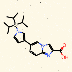 CC(C)[Si](C(C)C)(C(C)C)n1ccc(-c2ccc3nc(C(=O)O)cn3c2)c1